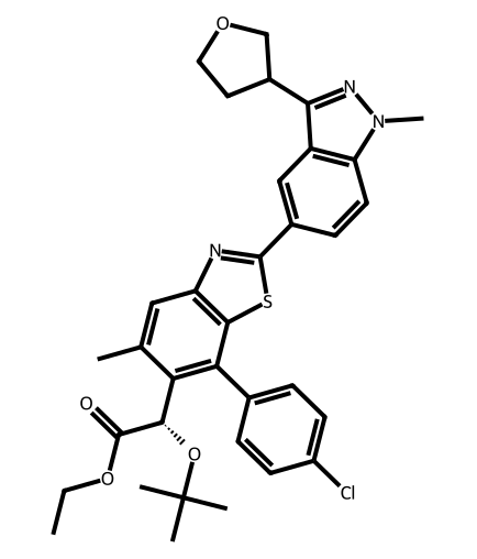 CCOC(=O)[C@@H](OC(C)(C)C)c1c(C)cc2nc(-c3ccc4c(c3)c(C3CCOC3)nn4C)sc2c1-c1ccc(Cl)cc1